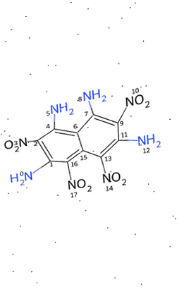 Nc1c([N+](=O)[O-])c(N)c2c(N)c([N+](=O)[O-])c(N)c([N+](=O)[O-])c2c1[N+](=O)[O-]